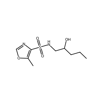 CCCC(O)CNS(=O)(=O)c1ncoc1C